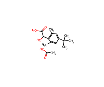 CC(=O)O.Cc1cc(C(C)(C)C)cc(C)c1C(O)C(=O)O